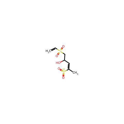 C=CS(=O)(=O)CC(O)C=C(C)[SH](=O)=O